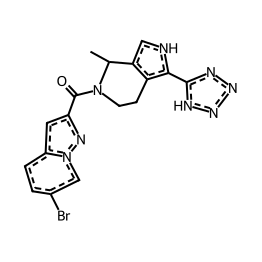 CC1c2c[nH]c(-c3nnn[nH]3)c2CCN1C(=O)c1cc2ccc(Br)cn2n1